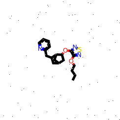 CCCCOc1nsnc1OC1CC2CC(Cc3ccccn3)C1C2